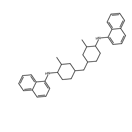 CC1CC(CC2CCC(Nc3cccc4ccccc34)C(C)C2)CCC1Nc1cccc2ccccc12